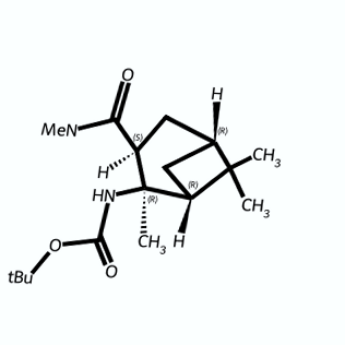 CNC(=O)[C@H]1C[C@H]2C[C@H](C2(C)C)[C@@]1(C)NC(=O)OC(C)(C)C